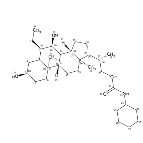 CC[C@@H]1C2C[C@H](O)CC[C@]2(C)[C@H]2CCC3(C)[C@@H]([C@H](C)COC(=O)NC4CCCCC4)CC[C@H]3C2[C@@H]1O